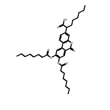 CCCCCCCC(=O)Oc1cc2c(=O)oc3cc(C(CCCCCC)C(=O)O)ccc3c2cc1OC(=O)CCCCCCC